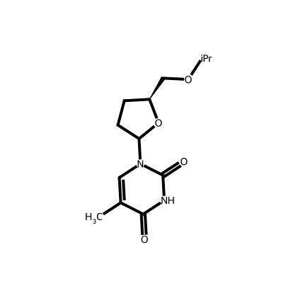 Cc1cn(C2CC[C@@H](COC(C)C)O2)c(=O)[nH]c1=O